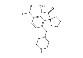 CC(C)(C)OC(=O)C1(c2cc(C(F)F)ccc2CN2CCNCC2)CCCC1